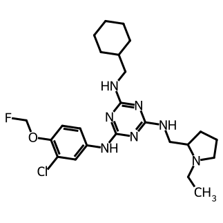 CCN1CCCC1CNc1nc(NCC2CCCCC2)nc(Nc2ccc(OCF)c(Cl)c2)n1